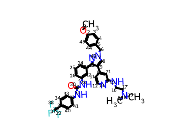 COc1ccc(Cn2cc(-c3ccnc(NCCN(C)C)c3)c(-c3cccc(NC(=O)Nc4ccc(C(F)(F)F)cc4)c3)n2)cc1